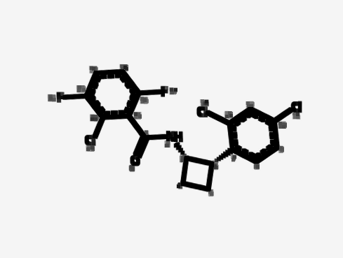 O=C(N[C@H]1CC[C@H]1c1ccc(Cl)cc1Cl)c1c(F)ccc(F)c1Cl